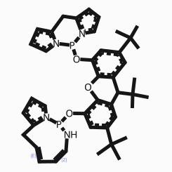 CC(C)(C)c1cc(OP2N/C=C\C=C\Cc3cccn32)c2c(c1)C(C(C)(C)C)c1cc(C(C)(C)C)cc(OP3n4cccc4Cc4cccn43)c1O2